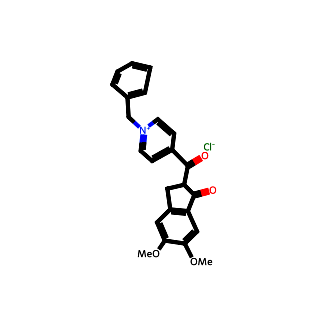 COc1cc2c(cc1OC)C(=O)C(C(=O)c1cc[n+](Cc3ccccc3)cc1)C2.[Cl-]